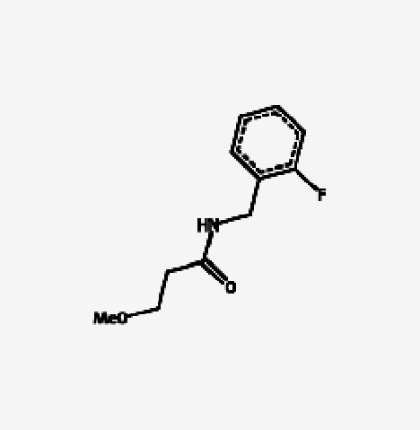 COCCC(=O)NCc1ccccc1F